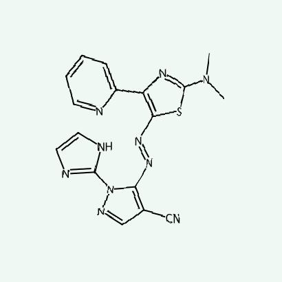 CN(C)c1nc(-c2ccccn2)c(/N=N/c2c(C#N)cnn2-c2ncc[nH]2)s1